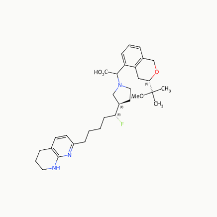 COC(C)(C)[C@@H]1Cc2c(cccc2C(C(=O)O)N2CC[C@@H]([C@H](F)CCCCc3ccc4c(n3)NCCC4)C2)CO1